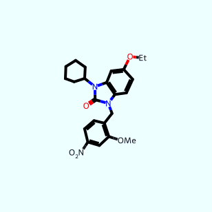 CCOc1ccc2c(c1)n(C1CCCCC1)c(=O)n2Cc1ccc([N+](=O)[O-])cc1OC